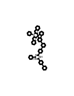 c1ccc(-c2ccc(C3NC(c4ccc(-c5cccc(-c6ccc7c(c6)-c6ccccc6C76c7cc8ccccc8cc7N(c7ccccc7)c7cc8ccccc8cc76)c5)cc4)=NC(c4ccccc4)N3)cc2)cc1